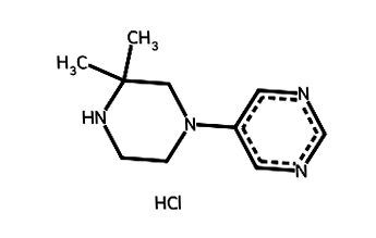 CC1(C)CN(c2cncnc2)CCN1.Cl